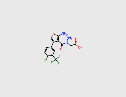 Nc1scc(-c2ccc(Cl)c(C(F)(F)F)c2)c1C(=O)N(N)CC(=O)O